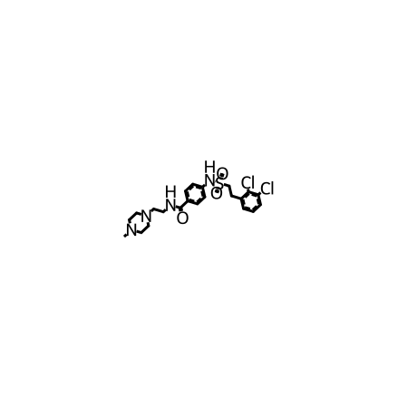 CN1CCN(CCNC(=O)c2ccc(NS(=O)(=O)CCc3cccc(Cl)c3Cl)cc2)CC1